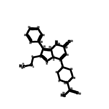 COCc1nn2c(C3CCN(C(=O)O)CC3)cc(=O)[nH]c2c1-c1ccccc1